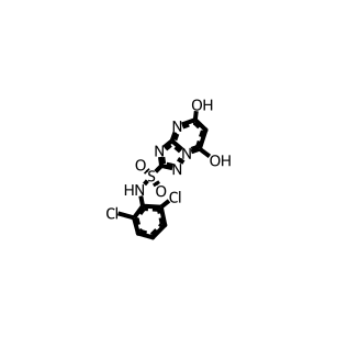 O=S(=O)(Nc1c(Cl)cccc1Cl)c1nc2nc(O)cc(O)n2n1